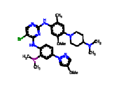 COc1cnn(-c2ccc(Nc3nc(Nc4cc(OC)c(N5CCC(N(C)C)CC5)cc4C)ncc3Br)c(P(C)C)c2)c1